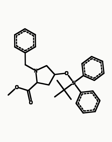 COC(=O)C1CC(O[Si](c2ccccc2)(c2ccccc2)C(C)(C)C)CN1Cc1ccccc1